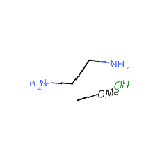 COC.Cl.NCCN